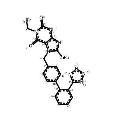 CCCCc1nc2[nH]c(=O)n(CC(C)C)c(=O)c2n1Cc1ccc(-c2ccccc2-c2nnn[nH]2)cc1